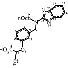 CCCCCCCCN(Cc1cccc(OC(CC)C(=O)O)c1)c1nc2ccccc2o1